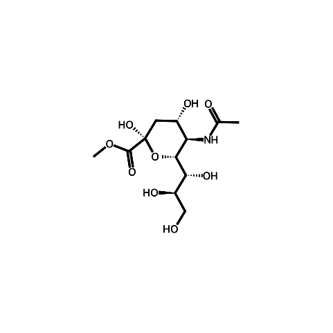 COC(=O)[C@@]1(O)C[C@H](O)[C@@H](NC(C)=O)[C@H]([C@H](O)[C@H](O)CO)O1